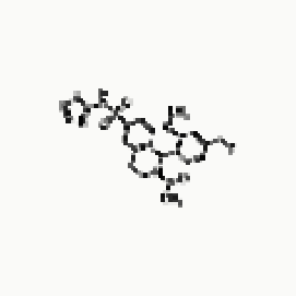 COc1cc(CF)ccc1C1c2ccc(S(=O)(=O)Nc3ncns3)cc2CCN1C(C)=O